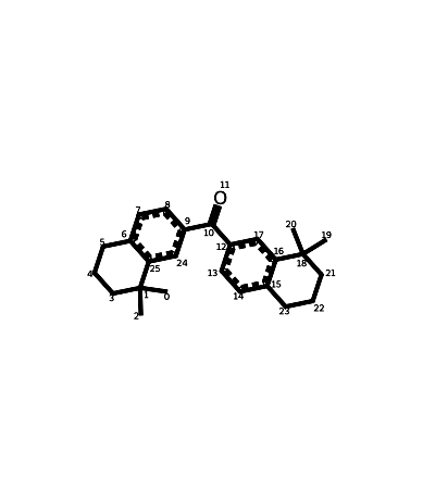 CC1(C)CCCc2ccc(C(=O)c3ccc4c(c3)C(C)(C)CCC4)cc21